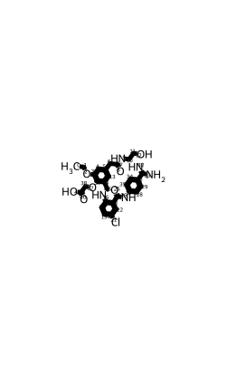 CCOc1cc(CC(=O)NCCO)cc(CNc2ccc(Cl)cc2C(=O)Nc2ccc(C(=N)N)cc2)c1OCC(=O)O